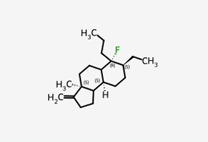 C=C1CCC2[C@@H]3CC[C@H](CC)[C@](F)(CCC)C3CC[C@]12C